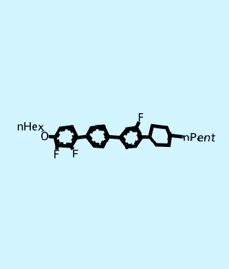 CCCCCCOc1ccc(-c2ccc(-c3ccc(C4CCC(CCCCC)CC4)c(F)c3)cc2)c(F)c1F